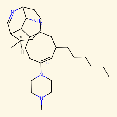 CCCCCCC1/C=C(/N2CCN(C)CC2)CCC(C2C(N)C3CCCC[C@@H](C)C2C=N3)CC1